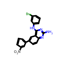 Nc1nc(Nc2cccc(Br)c2)c2cc(-c3cccc([N+](=O)[O-])c3)ccc2n1